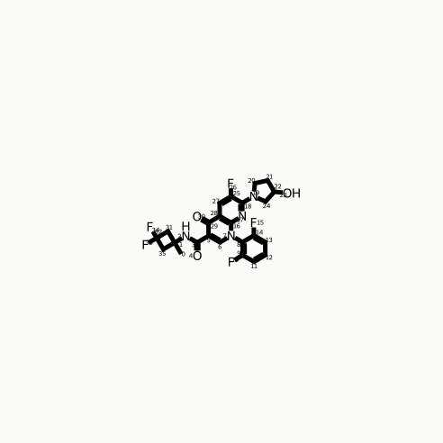 CC1(NC(=O)c2cn(-c3c(F)cccc3F)c3nc(N4CCC(O)C4)c(F)cc3c2=O)CC(F)(F)C1